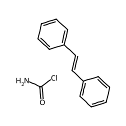 C(=Cc1ccccc1)c1ccccc1.NC(=O)Cl